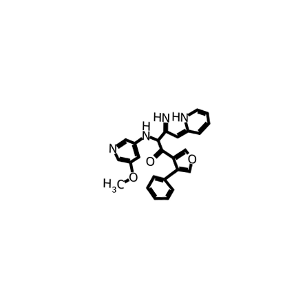 COc1cncc(NC(C(=N)/C=C2/C=CC=CN2)C(=O)c2cocc2-c2ccccc2)c1